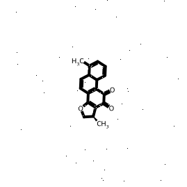 CC1=CC=CC2C3=C(C=CC12)C1=C(C(=O)C3=O)[C@@H](C)CO1